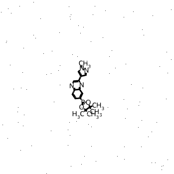 Cn1cc(-c2cnc3ccc(B4OC(C)(C)C(C)(C)O4)cc3n2)cn1